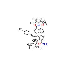 C#Cc1ccc(C#Cc2cc(CC(C(C)C)C(C)C)c3c(C(N)=O)ccc4c5ccc6c7c(ccc(c2c34)c75)C(=O)N(C(C(C)C)C(C)C)C6=O)cc1